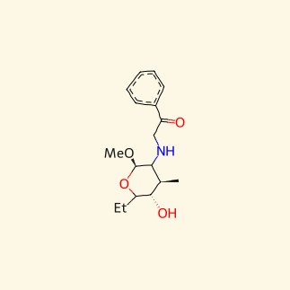 CCC1O[C@@H](OC)C(NCC(=O)c2ccccc2)[C@@H](C)[C@@H]1O